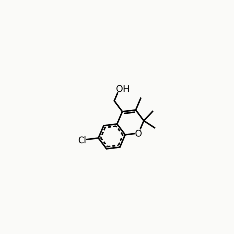 CC1=C(CO)c2cc(Cl)ccc2OC1(C)C